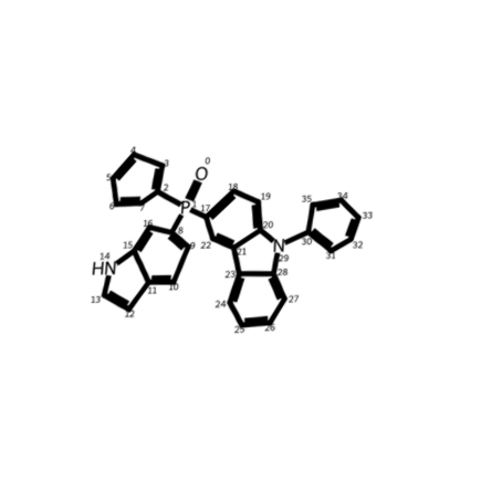 O=P(c1ccccc1)(c1ccc2cc[nH]c2c1)c1ccc2c(c1)c1ccccc1n2-c1ccccc1